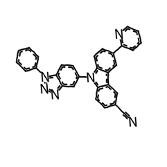 N#Cc1ccc2c(c1)c1cc(-c3ccccn3)ccc1n2-c1ccc2c(c1)nnn2-c1ccccc1